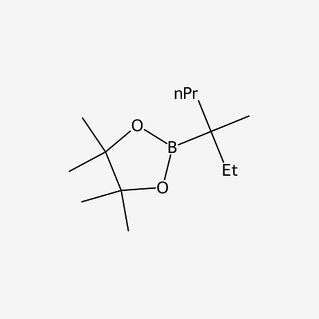 CCCC(C)(CC)B1OC(C)(C)C(C)(C)O1